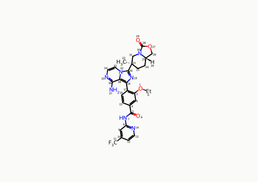 CCOc1cc(C(=O)Nc2cc(C(F)(F)F)ccn2)ccc1-c1nc([C@]2(C)CC[C@H]3COC(=O)N3C2)n2ccnc(N)c12